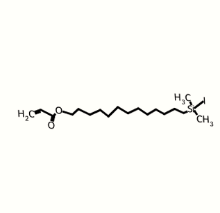 C=CC(=O)OCCCCCCCCCCCCC[Si](C)(C)I